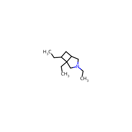 CCC1CC2CN(CC)CC12CC